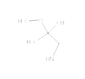 COC(C)(C)C[NH]